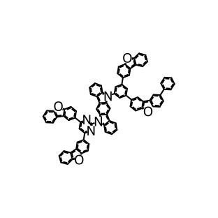 c1ccc(-c2ccc3oc4ccc(-c5cc(-c6ccc7oc8ccccc8c7c6)cc(-n6c7ccccc7c7cc8c(cc76)c6ccccc6n8-c6nc(-c7ccc8oc9ccccc9c8c7)cc(-c7ccc8oc9ccccc9c8c7)n6)c5)cc4c3c2)cc1